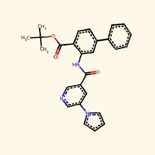 CC(C)(C)OC(=O)c1ccc(-c2ccccc2)cc1NC(=O)c1cncc(-n2cccc2)c1